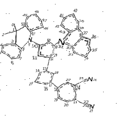 CC1(C)c2ccccc2N(c2cc(-c3cccc(-c4ccc(C#N)c(C#N)c4)c3)cc(-n3c4ccccc4c4ccccc43)c2)c2ccccc21